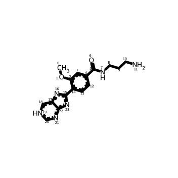 COc1cc(C(=O)NCCCN)ccc1-c1nc2c[nH]cnc-2n1